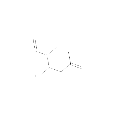 C=CN(C)C(CC(=C)C)C(C)C